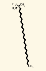 CCCCCCCCCCCCCCCCCCCCCC[CH][Ge]([CH3])([CH3])[CH3]